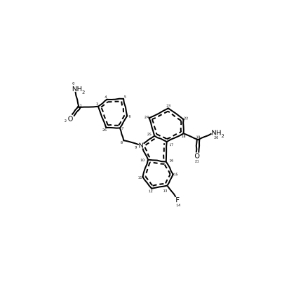 NC(=O)c1cccc(Cn2c3ccc(F)[c]c3c3c(C(N)=O)cccc32)c1